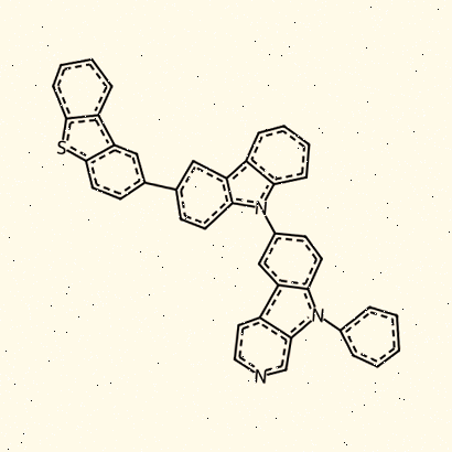 c1ccc(-n2c3ccc(-n4c5ccccc5c5cc(-c6ccc7sc8ccccc8c7c6)ccc54)cc3c3ccncc32)cc1